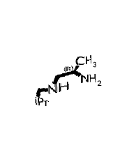 CC(C)CNC[C@@H](C)N